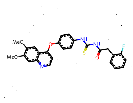 COc1cc2nccc(Oc3ccc(NC(=S)NC(=O)Cc4ccccc4F)cc3)c2cc1OC